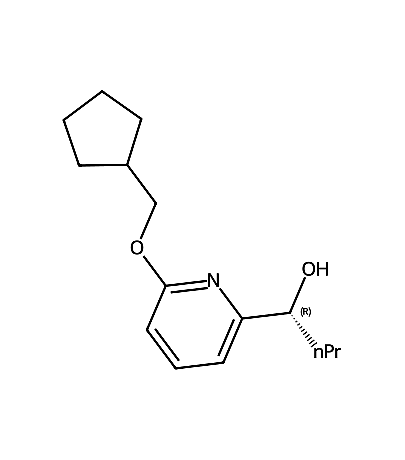 CCC[C@@H](O)c1cccc(OCC2CCCC2)n1